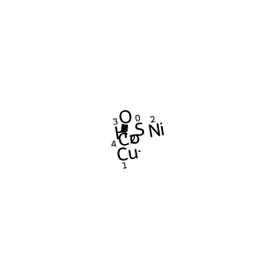 S.[Cu].[Ni].[O]=[Co]